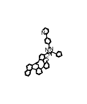 C1=C2/Cc3c(cccc3-c3cccc4sc5c(-c6nc(-c7ccccc7)nc(-c7ccc(-c8ccccn8)cc7)n6)ccc/1c5c34)-c1c2ccc2ccccc12